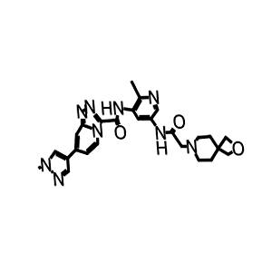 Cc1ncc(NC(=O)CN2CCC3(CC2)COC3)cc1NC(=O)c1nnc2cc(-c3cnn(C)c3)ccn12